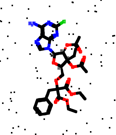 CCOC(=O)C(Cc1ccccc1)(OC[C@H]1O[C@@H](n2cnc3c(N)nc(Cl)nc32)[C@H](OC(C)=O)[C@]1(CC)OC(C)=O)C(=O)OCC